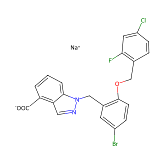 O=C([O-])c1cccc2c1cnn2Cc1cc(Br)ccc1OCc1ccc(Cl)cc1F.[Na+]